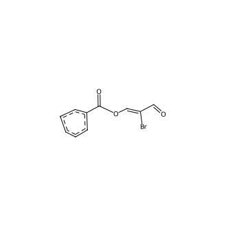 O=CC(Br)=COC(=O)c1ccccc1